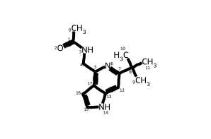 CC(=O)NCc1nc(C(C)(C)C)cc2[nH]ccc12